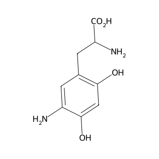 Nc1cc(CC(N)C(=O)O)c(O)cc1O